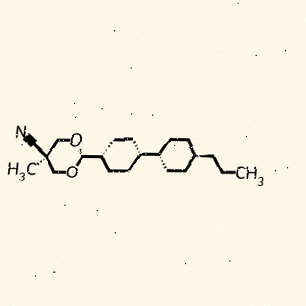 CCC[C@H]1CC[C@H]([C@H]2CC[C@@H]([C@H]3OC[C@](C)(C#N)CO3)CC2)CC1